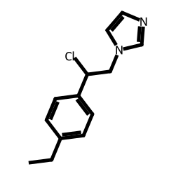 CCc1ccc(C(Cl)Cn2ccnc2)cc1